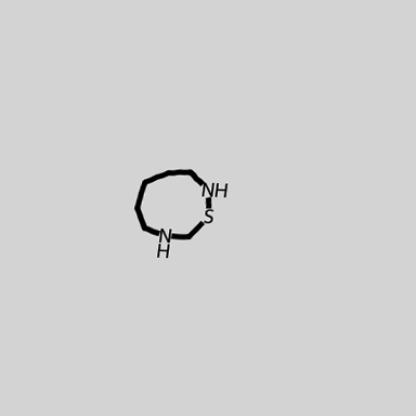 C1CCNCSNCC1